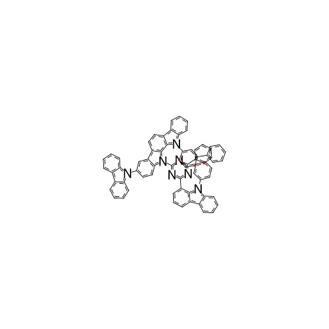 c1ccc(-c2cccc(-n3c4ccccc4c4ccc5c6cc(-n7c8ccccc8c8ccccc87)ccc6n(-c6nc(-c7ccccc7)nc(-c7cccc8c9ccccc9n(-c9ccccc9)c78)n6)c5c43)c2)cc1